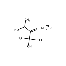 CC(O)C(=O)C(C)(O)C(=O)O.N.O